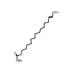 CCCCCCCC/C=C/CCCCCCCCCCCCOC(=O)OCC(C)C